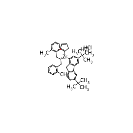 Cc1ccccc1C[C](Cc1ccccc1C)=[Zr]([C]1=CC=CC1)[c]1cc(C(C)(C)C)cc2c1Cc1ccc(C(C)(C)C)cc1-2.Cl.Cl